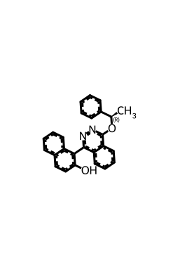 C[C@@H](Oc1nnc(-c2c(O)ccc3ccccc23)c2ccccc12)c1ccccc1